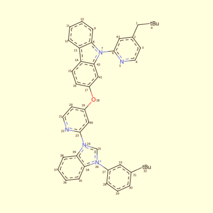 CC(C)(C)Cc1ccnc(-n2c3ccccc3c3ccc(Oc4ccnc(-n5c[n+](-c6cccc(C(C)(C)C)c6)c6ccccc65)c4)cc32)c1